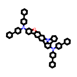 c1ccc(-c2ccc(N(c3ccc(-c4ccccc4)cc3)c3ccc4c(c3)oc3cc5cc6c(cc5cc34)c3ccc(N(c4ccc(-c5ccccc5)cc4)c4ccc(-c5ccccc5)cc4)c4c5ccccc5n6c34)cc2)cc1